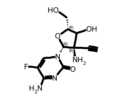 C#C[C@@]1(N)C(O)[C@@H](CO)O[C@H]1n1cc(F)c(N)nc1=O